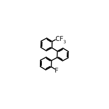 Fc1ccccc1-c1ccccc1-c1ccccc1C(F)(F)F